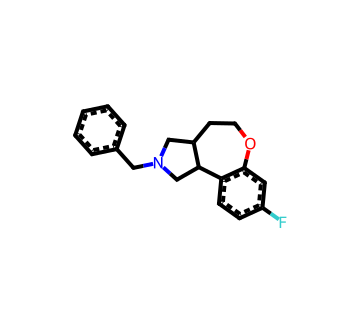 Fc1ccc2c(c1)OCCC1CN(Cc3ccccc3)CC21